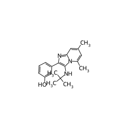 Cc1cc(C)n2c(NC(C)(C)C)c(-c3cccc(O)c3)nc2c1